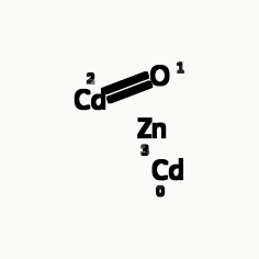 [Cd].[O]=[Cd].[Zn]